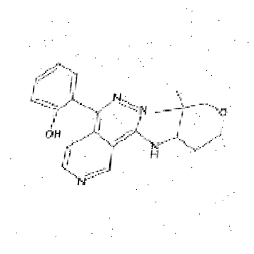 CC1(C)COCCC1Nc1nnc(-c2ccccc2O)c2ccncc12